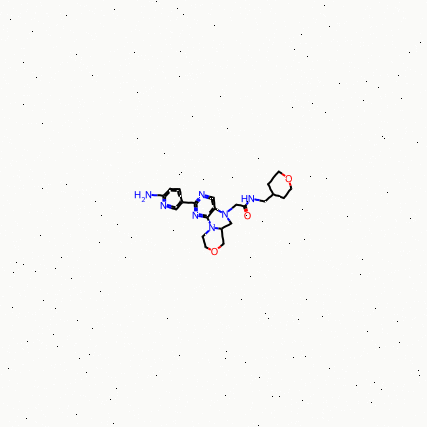 Nc1ccc(-c2ncc3c(n2)N2CCOCC2CN3CC(=O)NCC2CCOCC2)cn1